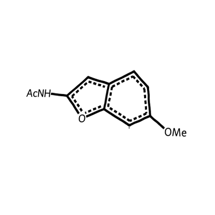 COc1[c]c2oc(NC(C)=O)cc2cc1